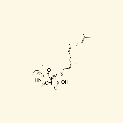 CC[C@H](C)[C@@H](NC(C)=O)C(=O)N[C@@H](CSCC=C(C)CCC=C(C)CCC=C(C)C)C(=O)O